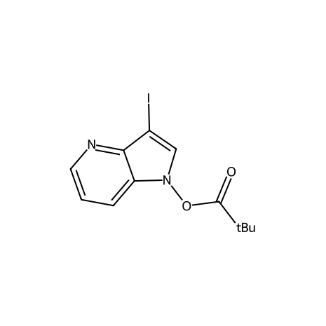 CC(C)(C)C(=O)On1cc(I)c2ncccc21